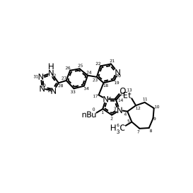 CCCCc1cn(C2C(C)CCCCCC2CC)c(=O)n1Cc1cnccc1-c1ccc(-c2nnn[nH]2)cc1